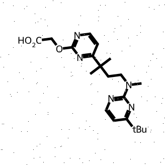 CN(CCC(C)(C)c1ccnc(OCC(=O)O)n1)c1nccc(C(C)(C)C)n1